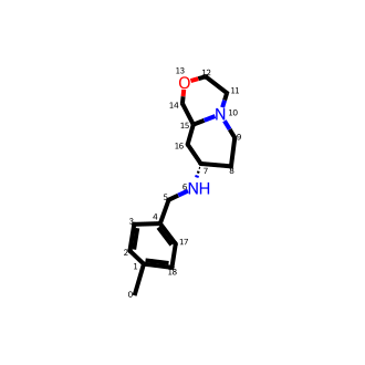 Cc1ccc(CN[C@H]2CCN3CCOCC3C2)cc1